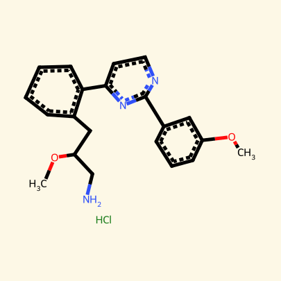 COc1cccc(-c2nccc(-c3ccccc3CC(CN)OC)n2)c1.Cl